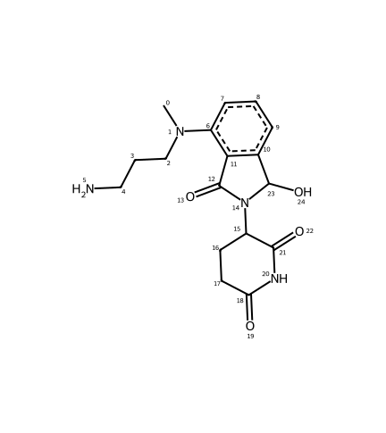 CN(CCCN)c1cccc2c1C(=O)N(C1CCC(=O)NC1=O)C2O